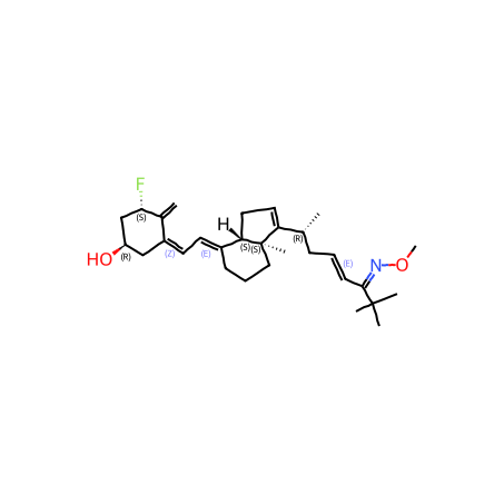 C=C1/C(=C\C=C2/CCC[C@]3(C)C([C@H](C)C/C=C/C(=NOC)C(C)(C)C)=CC[C@@H]23)C[C@@H](O)C[C@@H]1F